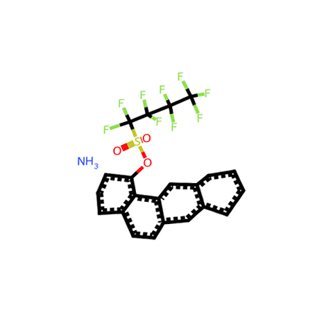 N.O=S(=O)(Oc1cccc2ccc3cc4ccccc4cc3c12)C(F)(F)C(F)(F)C(F)(F)C(F)(F)F